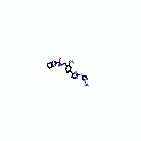 Cc1cc(-c2ccnc(Nc3cnn(C)c3)n2)ccc1CNC(=O)c1nc2c(s1)CCC2